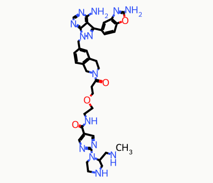 CNCC1CNCCN1c1ncc(C(=O)NCCOCCC(=O)N2CCc3cc(Cn4nc(-c5ccc6oc(N)nc6c5)c5c(N)ncnc54)ccc3C2)cn1